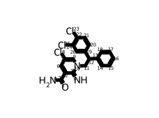 N=c1c(C(N)=O)cc(Cl)cn1CC(c1ccccc1)c1ccc(Cl)c(Cl)c1